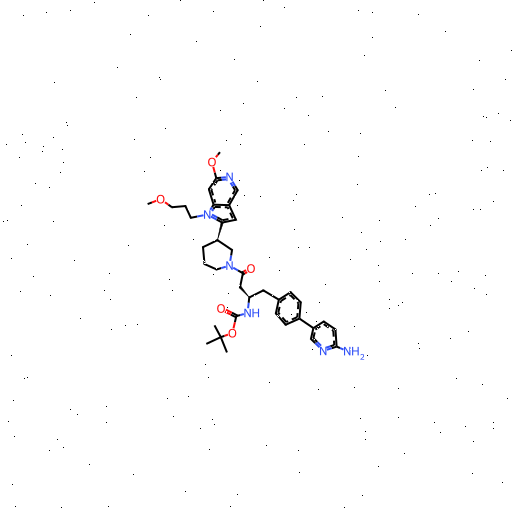 COCCCn1c([C@@H]2CCCN(C(=O)C[C@@H](Cc3ccc(-c4ccc(N)nc4)cc3)NC(=O)OC(C)(C)C)C2)cc2cnc(OC)cc21